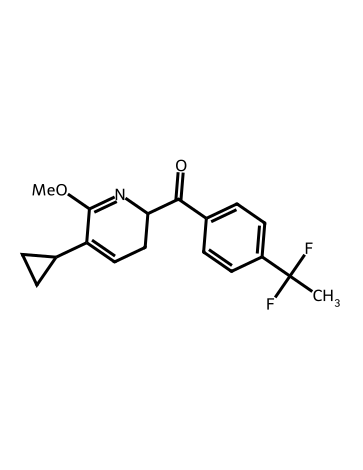 COC1=NC(C(=O)c2ccc(C(C)(F)F)cc2)CC=C1C1CC1